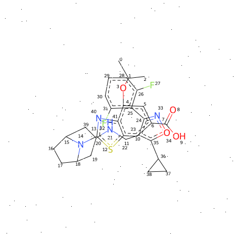 CC(C)Oc1cc(C(=O)O)cc2sc(N3C4CCC3CC(NCc3c(-c5c(F)cccc5F)noc3C3CC3)C4)nc12